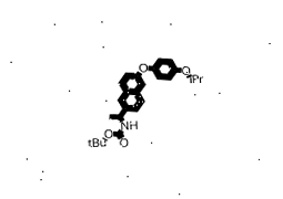 CC(C)Oc1ccc(Oc2ccc3cc(C(C)NC(=O)OC(C)(C)C)ccc3c2)cc1